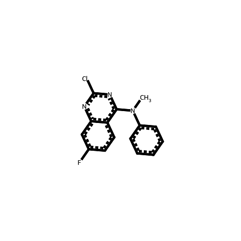 CN(c1ccccc1)c1nc(Cl)nc2cc(F)ccc12